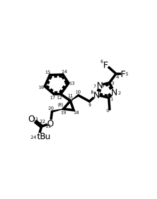 Cc1nc(C(F)F)nn1CC[C@@]1(c2ccccc2)C[C@H]1COC(=O)C(C)(C)C